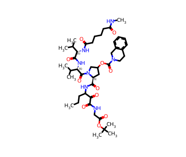 CCCC(NC(=O)[C@@H]1CC(OC(=O)N2CCc3ccccc3C2)CN1C(=O)[C@@H](NC(=O)[C@@H](NC(=O)CCCCC(=O)NC)C(C)C)C(C)C)C(=O)C(=O)NCC(=O)OC(C)(C)C